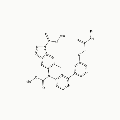 Cc1cc2c(cnn2C(=O)OC(C)(C)C)cc1N(C(=O)OC(C)(C)C)c1ccnc(-c2cccc(OCC(=O)NC(C)C)c2)n1